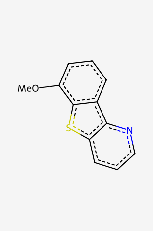 COc1cccc2c1sc1cccnc12